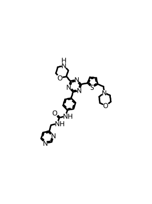 O=C(NCc1ccncn1)Nc1ccc(-c2nc(-c3ccc(CN4CCOCC4)s3)nc(C3CNCCO3)n2)cc1